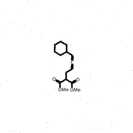 COC(=O)C(CC=C=CC1CCCCC1)C(=O)OC